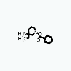 CCC1(N)CCCN(OC(=O)c2ccccc2)C1